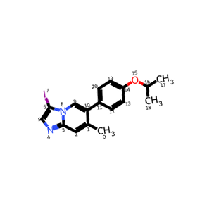 Cc1cc2ncc(I)n2cc1-c1ccc(OC(C)C)cc1